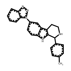 Cc1ccc(C2NCCc3c2[nH]c2ccc(-n4nnc5ccccc54)cc32)cc1